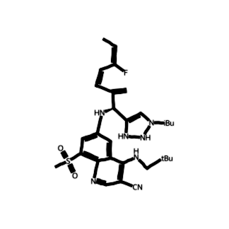 C=C(/C=C\C(F)=C/C)[C@H](Nc1cc(S(C)(=O)=O)c2ncc(C#N)c(NCC(C)(C)C)c2c1)C1=CN(C(C)CC)NN1